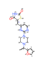 C=C(c1ccco1)N1CCN(c2nccc(/C=C3\SC(=O)NC3=O)n2)CC1